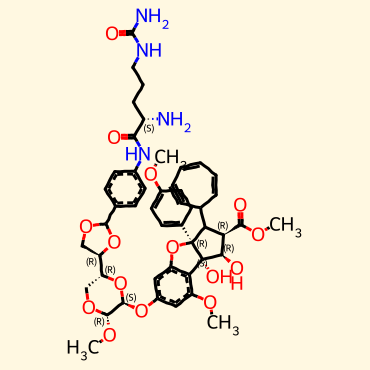 COC(=O)[C@@H]1C(C2C#CC=CC=C2)[C@]2(C3=CC=C(OC)CC3)Oc3cc(O[C@@H]4O[C@@H]([C@H]5COC(c6ccc(NC(=O)[C@@H](N)CCCNC(N)=O)cc6)O5)CO[C@H]4OC)cc(OC)c3[C@]2(O)[C@@H]1O